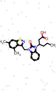 CCCC(CC(=O)O)n1c(=O)n(Cc2nsc3cc(C)cc(C)c23)c2ccccc21